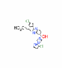 O=C(O)CCCCC1=NC2C=C(C(O)N3CCN(c4ncccc4Cl)CC3)C=CC2N=C1c1ccc(Cl)cc1